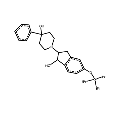 CC(C)[Si](Oc1ccc2c(c1)CC(N1CCC(O)(c3ccccc3)CC1)C2O)(C(C)C)C(C)C